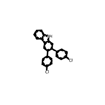 Clc1ccc(-c2cc3[nH]c4ccccc4c3cc2-c2ccc(Cl)cc2)cc1